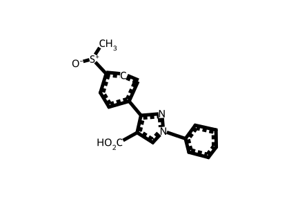 C[S+]([O-])c1ccc(-c2nn(-c3ccccc3)cc2C(=O)O)cc1